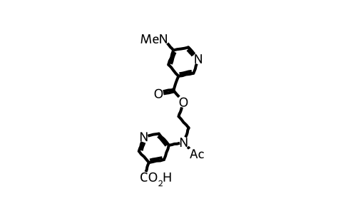 CNc1cncc(C(=O)OCCN(C(C)=O)c2cncc(C(=O)O)c2)c1